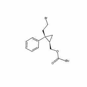 CC(C)(C)C(=O)OC[C@@H]1C[C@@]1(CCBr)c1ccccc1